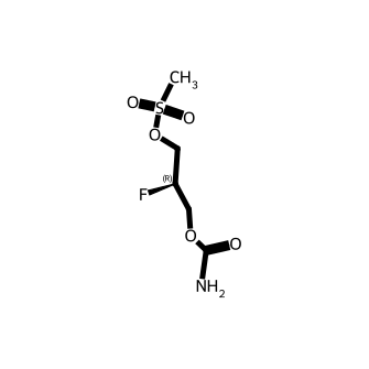 CS(=O)(=O)OC[C@H](F)COC(N)=O